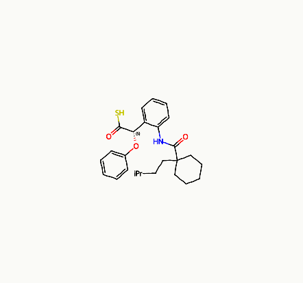 CC(C)CCC1(C(=O)Nc2ccccc2[C@H](Oc2ccccc2)C(=O)S)CCCCC1